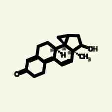 C[C@]12C=CC3=C4CCC(=O)C=C4CC[C@H]3[C@@]13CC3CC2O